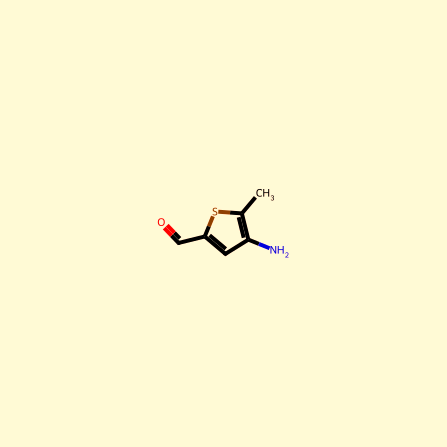 Cc1sc(C=O)cc1N